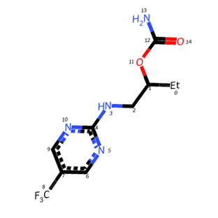 CCC(CNc1ncc(C(F)(F)F)cn1)OC(N)=O